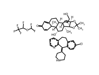 CC1(C)O[C@@H]2C[C@H]3[C@@H]4CCC5=CC(=O)C=C[C@]5(C)[C@H]4[C@@H](O)C[C@]3(C)[C@]2(C(=O)CO)O1.Clc1ccc2c(c1)CCc1cccnc1C2=C1CCNCC1.FC(F)OC(F)C(F)(F)F